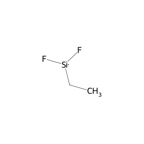 CC[Si](F)F